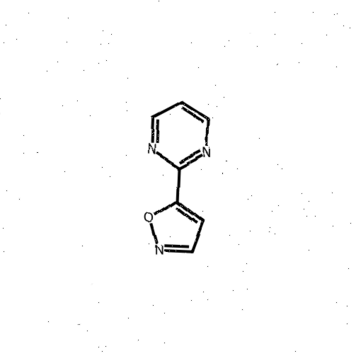 c1cnc(-c2ccno2)nc1